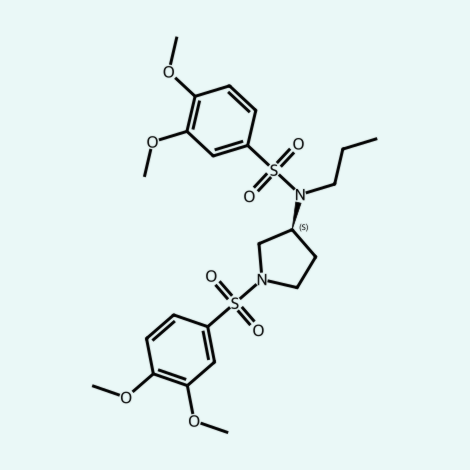 CCCN([C@H]1CCN(S(=O)(=O)c2ccc(OC)c(OC)c2)C1)S(=O)(=O)c1ccc(OC)c(OC)c1